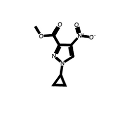 COC(=O)c1nn(C2CC2)cc1[N+](=O)[O-]